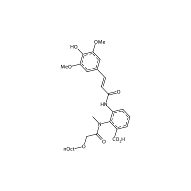 CCCCCCCCOCC(=O)N(C)c1c(NC(=O)/C=C/c2cc(OC)c(O)c(OC)c2)cccc1C(=O)O